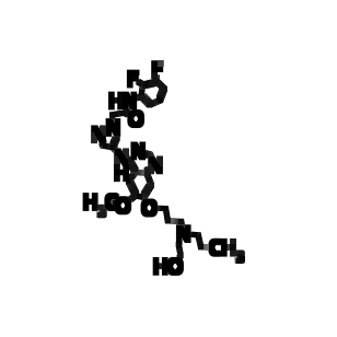 CCCN(CCO)CCCOc1cc2ncnc(Nc3cnn(CC(=O)Nc4cccc(F)c4F)c3)c2cc1OC